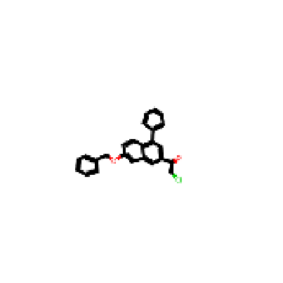 O=C(CCl)c1cc(-c2ccccc2)c2ccc(OCc3ccccc3)cc2c1